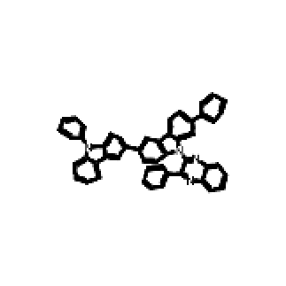 c1ccc(-c2ccc3c4cc(-c5ccc6c(c5)c5ccccc5n6-c5ccccc5)ccc4n(-c4nc5ccccc5nc4-c4ccccc4)c3c2)cc1